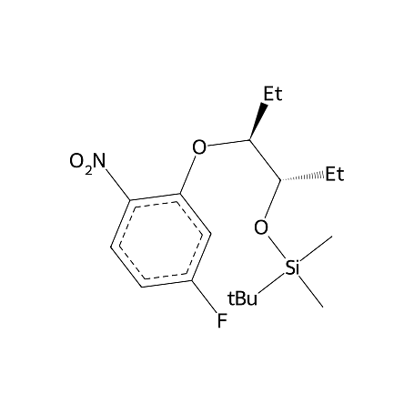 CC[C@H](Oc1cc(F)ccc1[N+](=O)[O-])[C@H](CC)O[Si](C)(C)C(C)(C)C